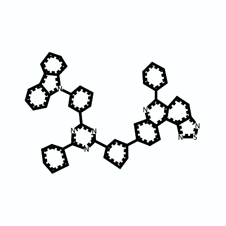 c1ccc(-c2nc(-c3cccc(-c4ccc5c(c4)nc(-c4ccccc4)c4ccc6nsnc6c45)c3)nc(-c3cccc(-n4c5ccccc5c5ccccc54)c3)n2)cc1